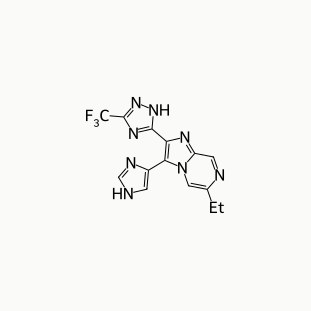 CCc1cn2c(-c3c[nH]cn3)c(-c3nc(C(F)(F)F)n[nH]3)nc2cn1